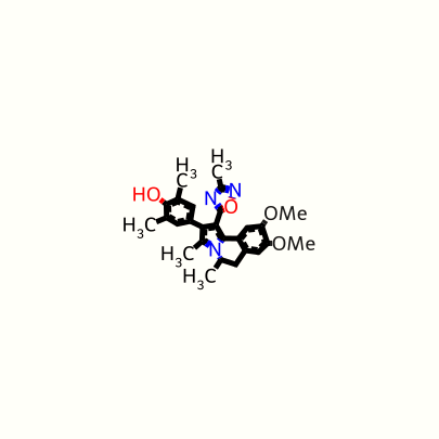 COc1cc2c(cc1OC)-c1c(-c3nc(C)no3)c(-c3cc(C)c(O)c(C)c3)c(C)n1C(C)C2